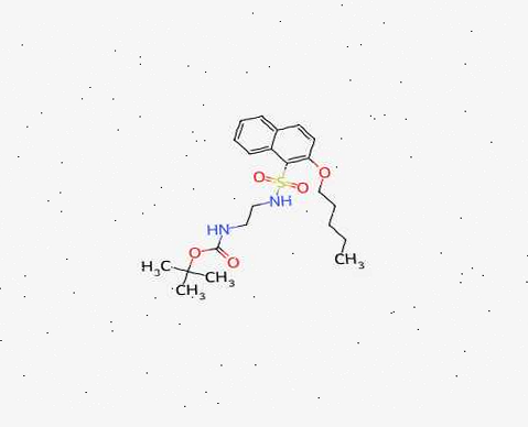 CCCCCOc1ccc2ccccc2c1S(=O)(=O)NCCNC(=O)OC(C)(C)C